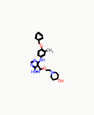 Cc1cc(Nc2ncnc3[nH]nc(OCCN4CCC(O)CC4)c23)ccc1OCc1ccccc1